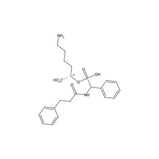 NCCCC[C@H](OP(=O)(O)C(NC(=O)CCc1ccccc1)c1ccccc1)C(=O)O